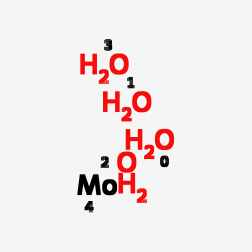 O.O.O.O.[Mo]